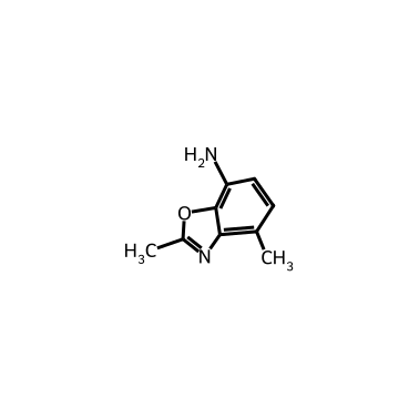 Cc1nc2c(C)ccc(N)c2o1